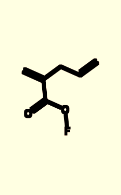 C=CCC(=C)C(=O)OF